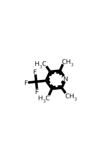 Cc1nc(C)c(C)c(C(F)(F)F)c1C